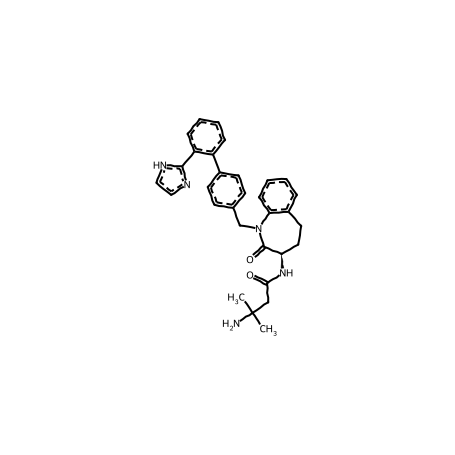 CC(C)(N)CC(=O)N[C@@H]1CCc2ccccc2N(Cc2ccc(-c3ccccc3-c3ncc[nH]3)cc2)C1=O